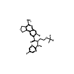 C[C@@H](c1ncc(F)cn1)N(CCOC(F)(F)F)C(=O)c1cc2c3c(c(N)nc2cc1F)COC3